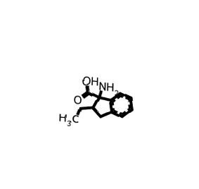 CCC1Cc2ccccc2C1(N)C(=O)O